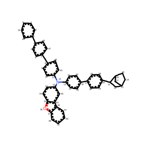 c1ccc(-c2ccc(-c3ccc(N(c4ccc(-c5ccc(C6CC7CCC6C7)cc5)cc4)c4ccc5oc6ccccc6c5c4)cc3)cc2)cc1